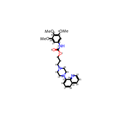 COc1cc(NC(=O)OCCCN2CCN(c3cccc4cccnc34)CC2)cc(OC)c1OC